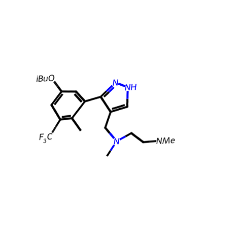 CNCCN(C)Cc1c[nH]nc1-c1cc(OCC(C)C)cc(C(F)(F)F)c1C